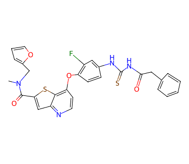 CN(Cc1ccco1)C(=O)c1cc2nccc(Oc3ccc(NC(=S)NC(=O)Cc4ccccc4)cc3F)c2s1